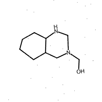 OCN1CNC2CCCCC2C1